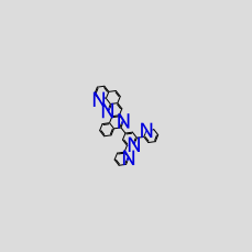 c1ccc(-c2cc(-c3nc4cc5ccc6cccnc6c5nc4c4ccccc34)cc(-c3ccccn3)n2)nc1